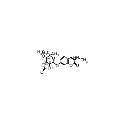 CNc1cc2ccc(OC3OC(C)(C)[C@H](OC)[C@@H]4OC(=O)O[C@H]34)cc2oc1=O